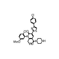 COc1ccc(Cl)c(-n2c(CC(C)C)c(C(=O)N3CCNCC3)cc(-c3nc(-c4ccc(Cl)cc4)cs3)c2=O)c1